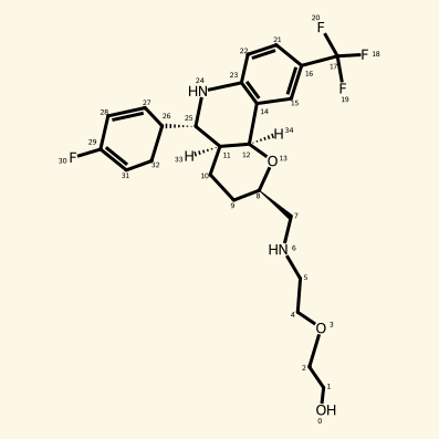 OCCOCCNC[C@H]1CC[C@@H]2[C@H](O1)c1cc(C(F)(F)F)ccc1N[C@H]2C1C=CC(F)=CC1